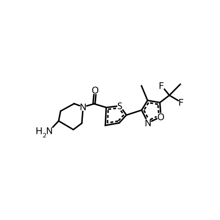 Cc1c(-c2ccc(C(=O)N3CCC(N)CC3)s2)noc1C(C)(F)F